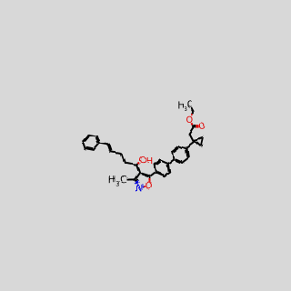 CCOC(=O)CC1(c2ccc(-c3ccc(-c4onc(C)c4C(O)CCC=Cc4ccccc4)cc3)cc2)CC1